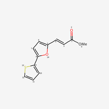 COC(=O)/C=C/c1ccc(-c2cccs2)o1